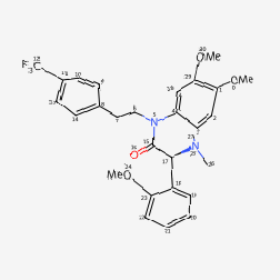 COc1ccc(N(CCc2ccc(C(F)(F)F)cc2)C(=O)[C@H](c2ccccc2OC)N(C)C)cc1OC